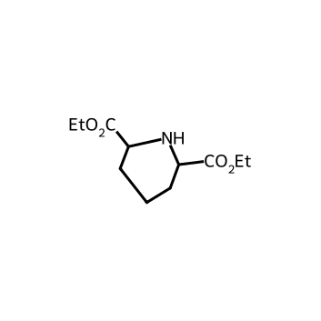 CCOC(=O)C1CCCC(C(=O)OCC)N1